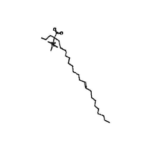 CCCCCCCCCC=CCCCCCCCCCCC(CCC)(P(=O)=O)[N+](C)(C)C